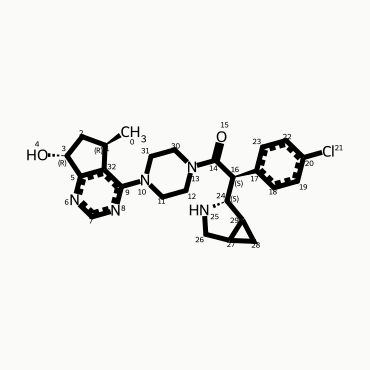 C[C@@H]1C[C@@H](O)c2ncnc(N3CCN(C(=O)[C@@H](c4ccc(Cl)cc4)[C@H]4NCC5CC54)CC3)c21